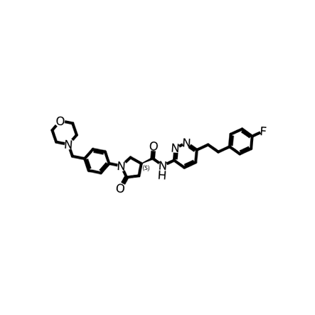 O=C(Nc1ccc(CCc2ccc(F)cc2)nn1)[C@H]1CC(=O)N(c2ccc(CN3CCOCC3)cc2)C1